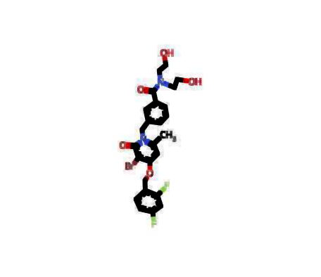 Cc1cc(OCc2ccc(F)cc2F)c(Br)c(=O)n1Cc1cccc(C(=O)N(CCO)CCO)c1